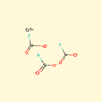 O=[Si]([O-])F.O=[Si]([O-])F.O=[Si]([O-])F.[Cr+3]